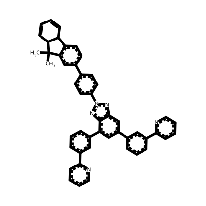 CC1(C)c2cc(-c3ccc(-n4nc5cc(-c6cccc(-c7ccccn7)c6)cc(-c6cccc(-c7ccccn7)c6)c5n4)cc3)ccc2C2C=CC=CC21